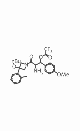 CCCCOC1(c2ccccc2C)CN(C(=O)C(N)C(OC(=O)C(F)(F)F)c2ccc(OC)cc2)C1